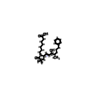 C[C@@H](CCCc1ccccc1)[C@H](O)/C=C/C1CC(F)(F)C(=O)N1CCCCCCC(=O)O